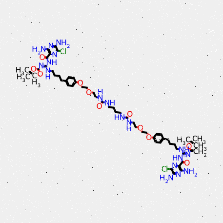 C=C(/N=C(\NCCCCc1ccc(OCCOCCNC(=O)NCCCCNC(=O)NCCOCCOc2ccc(CCCCN/C(=N\C(=O)OC(C)(C)C)NC(=O)c3nc(Cl)c(N)nc3N)cc2)cc1)NC(=O)c1nc(Cl)c(N)nc1N)OC(C)(C)C